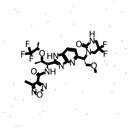 COC[C@H](c1ccc2[nH]c([C@@H](NC(=O)c3nonc3C)[C@@H](C)O[C@H](C)C(F)(F)F)nc2n1)N1CC(F)(F)CNC1=O